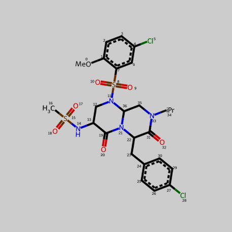 COc1ccc(Cl)cc1S(=O)(=O)N1CC(NS(C)(=O)=O)C(=O)N2C(Cc3ccc(Cl)cc3)C(=O)N(C(C)C)CC21